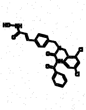 O=C(C=Cc1ccc(CN(Cc2ccc(Cl)cc2Cl)C(=O)NC(=O)c2ccccc2)cc1)NO